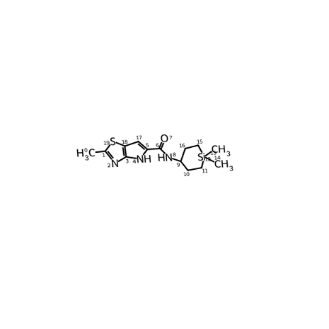 Cc1nc2[nH]c(C(=O)NC3CC[Si](C)(C)CC3)cc2s1